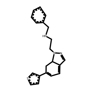 C1=NN(CCNCc2ccccc2)C2CC(c3ccsc3)=CC=C12